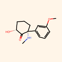 CN[C@@]1(c2cccc(OC)c2)CCC[C@@H](O)C1=O